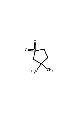 CC1(N)CCS(=O)(=O)C1